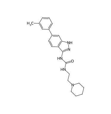 Cc1cccc(-c2ccc3c(NC(=O)NCCN4CCCCC4)n[nH]c3c2)c1